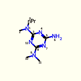 CCCN(C)c1nc(N)nc(N(C)C)n1